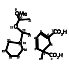 CC1(C(=O)O)C=CC=C(C(=O)O)C1.COC(C)OC(C)N1CCCCC1